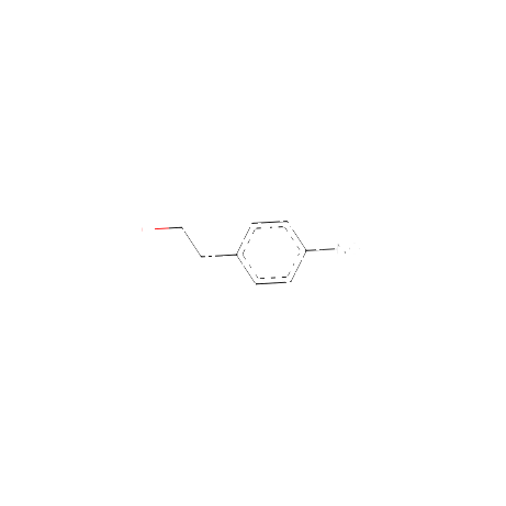 [O]CCc1ccc([N+](=O)[O-])cc1